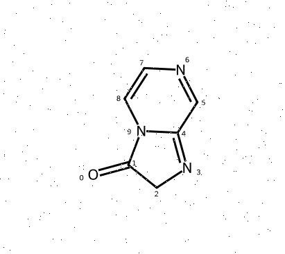 O=C1CN=C2C=NC=CN12